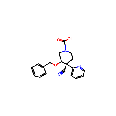 N#C[C@]1(c2ccccn2)CCN(C(=O)O)C[C@@H]1OCc1ccccc1